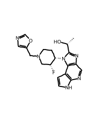 C[C@@H](O)c1nc2cnc3[nH]ccc3c2n1[C@H]1CCN(Cc2cnco2)C[C@H]1F